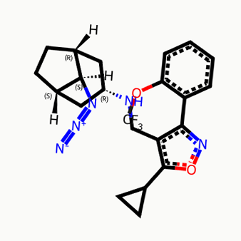 [N-]=[N+]=N[C@@H]1[C@@H]2CC[C@H]1C[C@@H](NCc1c(-c3ccccc3OC(F)(F)F)noc1C1CC1)C2